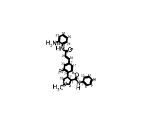 CN1CC(C(=O)Nc2ccccc2)C(c2ccc(/C=C/C(=O)Nc3ccccc3N)cc2F)C1